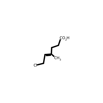 C/C(=C\CCl)CCC(=O)O